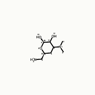 CN(C)C1C[C@@H](CN)O[C@@H](O)C1O